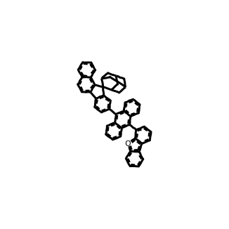 c1ccc2c3c(ccc2c1)-c1ccc(-c2c4ccccc4c(-c4cccc5c4oc4ccccc45)c4ccccc24)cc1C31C2CC3CC(C2)CC1C3